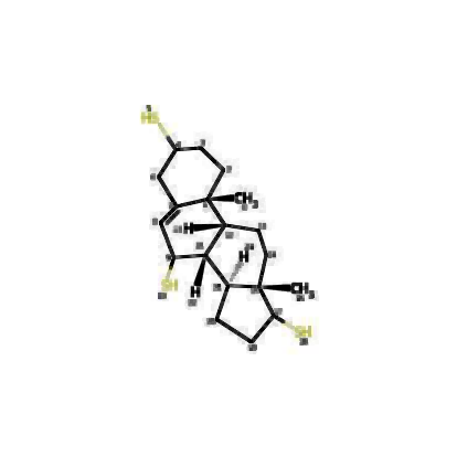 C[C@]12CCC(S)CC1=CC(S)[C@@H]1[C@H]2CC[C@]2(C)C(S)CC[C@@H]12